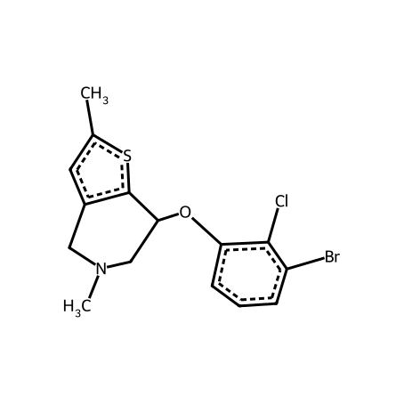 Cc1cc2c(s1)C(Oc1cccc(Br)c1Cl)CN(C)C2